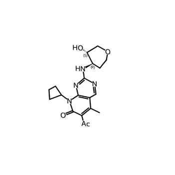 CC(=O)c1c(C)c2cnc(N[C@@H]3CCOC[C@H]3O)nc2n(C2CCC2)c1=O